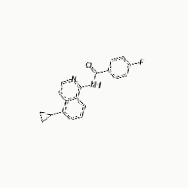 O=C(Nc1nccc2c(C3CC3)cccc12)c1ccc(F)cc1